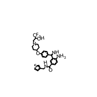 N=C(c1ccc(OC2CCN(CC(O)C(F)(F)F)CC2)cc1)c1cc(C(=O)NCc2ccsc2)ccc1N